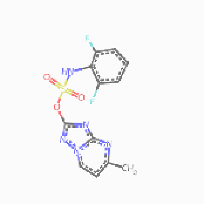 Cc1ccn2nc(OS(=O)(=O)Nc3c(F)cccc3F)nc2n1